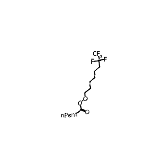 CCCCCC(=O)OOCCCCCCC(F)(F)C(F)(F)F